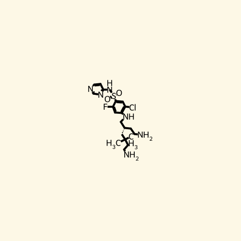 CC(C)(CCN)C[C@@H](CCN)CNc1cc(F)c(S(=O)(=O)Nc2ccncn2)cc1Cl